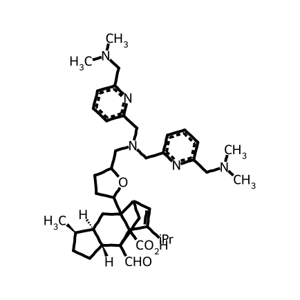 CC(C)C1=CC2CC3(C=O)[C@@H]4CC[C@@H](C)[C@H]4CC2(C2CCC(CN(Cc4cccc(CN(C)C)n4)Cc4cccc(CN(C)C)n4)O2)C13C(=O)O